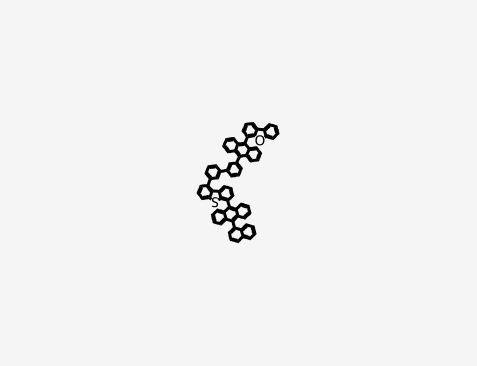 c1cc(-c2cccc(-c3cccc4sc5c(-c6c7ccccc7c(-c7cccc8ccccc78)c7ccccc67)cccc5c34)c2)cc(-c2c3ccccc3c(-c3cccc4c3oc3ccccc34)c3ccccc23)c1